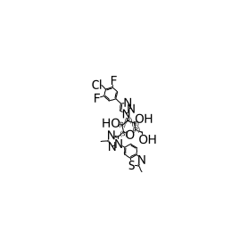 Cc1nc([C@@H]2O[C@H](CO)[C@H](O)[C@H](n3cc(-c4cc(F)c(Cl)c(F)c4)nn3)[C@H]2O)n(-c2ccc3nc(C)sc3c2)n1